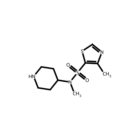 Cc1n[c]sc1S(=O)(=O)N(C)C1CCNCC1